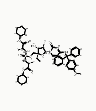 CC[C@]1(COP(=O)(N[C@@H](C)C(=O)OC2CCCCC2)N[C@@H](C)C(=O)OC2CCCCC2)O[C@@H](n2ccc(NC(c3ccccc3)(c3ccccc3)c3ccc(OC)cc3)nc2=O)[C@H](F)[C@@H]1O